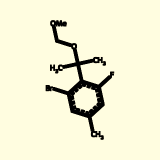 COCOC(C)(C)c1c(F)cc(C)cc1Br